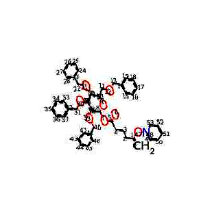 C=C(CCCC(=O)OC1O[C@H](COCc2ccccc2)[C@@H](OCc2ccccc2)[C@H](OCc2ccccc2)[C@H]1OCc1ccccc1)ON1C=CC=CC1